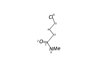 CNC(=O)CCCCl